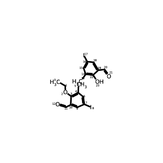 CCOc1c(C)cc(I)cc1C=O.Cc1cc(I)cc(C=O)c1O